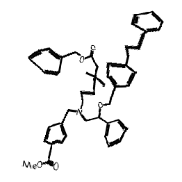 COC(=O)c1ccc(CN(CCC(C)(C)CC(=O)OCc2ccccc2)CC(OCc2ccc(CCc3ccccc3)cc2)c2ccccc2)cc1